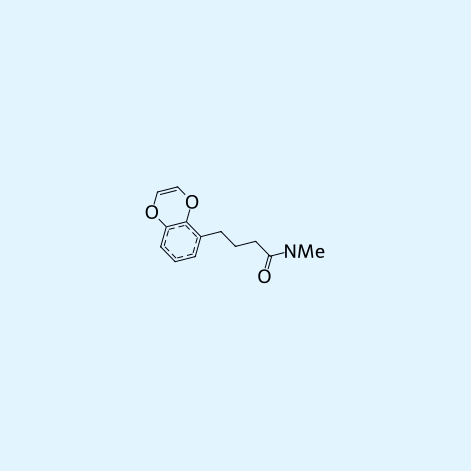 CNC(=O)CCCc1cccc2c1OC=CO2